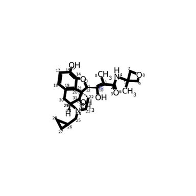 C/C(C(=O)NC1(C)COC1)=C(/O)[C@@H]1Oc2c(O)ccc3c2[C@@]12CCN(CC1CC1)[C@H](C3)[C@@]2(C)O